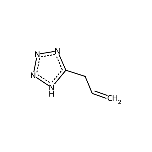 C=CCc1nnn[nH]1